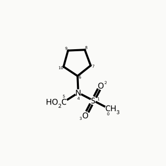 CS(=O)(=O)N(C(=O)O)C1CCCC1